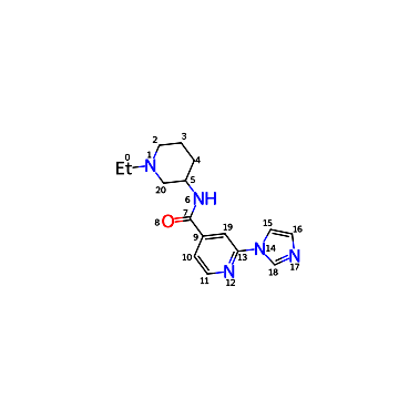 CCN1CCCC(NC(=O)c2ccnc(-n3ccnc3)c2)C1